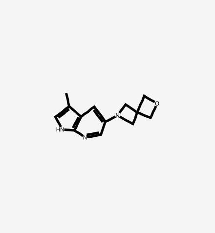 Cc1c[nH]c2ncc(N3CC4(COC4)C3)cc12